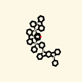 c1ccc(-n2c3ccccc3c3cc4c(cc32)c2ccccc2n4-c2cccc([Si](c3ccccc3)(c3ccccc3)c3cccc4c3sc3c([Si](c5ccccc5)(c5ccccc5)c5cccc6c5sc5ccccc56)cccc34)c2)cc1